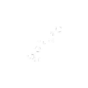 CN/C(C)=C(\C=N)c1ccc2c(c1)OCCN(CC(O)CN1CCc3ccccc3C1)C2=O